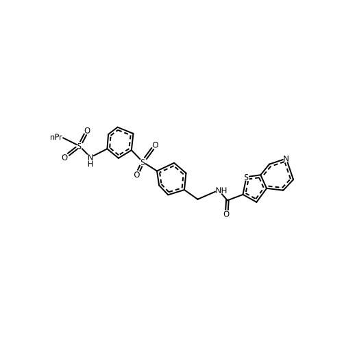 CCCS(=O)(=O)Nc1cccc(S(=O)(=O)c2ccc(CNC(=O)c3cc4ccncc4s3)cc2)c1